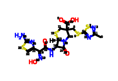 Cc1nsc(SCC2(C(=O)O)CS[C@@H]3C(NC(=O)C(=NO)c4csc(N)n4)C(=O)N3C2)n1